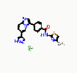 Cc1csc(NC(=O)c2ccc(-c3cnc4ccc(-c5cn[nH]c5)cn34)cc2)n1.Cl.Cl